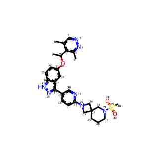 Cc1cnnc(C)c1C(C)Oc1ccc2[nH]nc(-c3ccc(N4CC5(CCCN(S(C)(=O)=O)C5)C4)nc3)c2c1